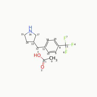 CC(=O)O.FC(F)(F)c1ccc(CC2CCNC2)cc1